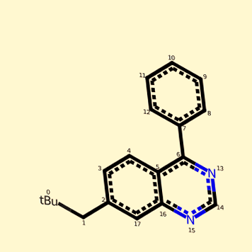 CC(C)(C)Cc1ccc2c(-c3ccccc3)ncnc2c1